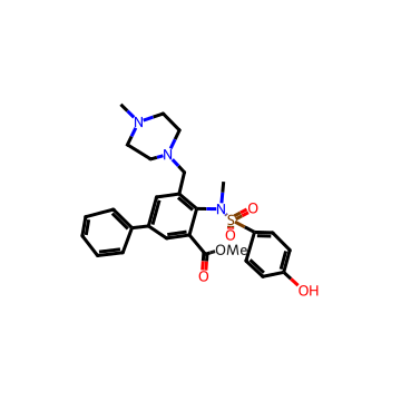 COC(=O)c1cc(-c2ccccc2)cc(CN2CCN(C)CC2)c1N(C)S(=O)(=O)c1ccc(O)cc1